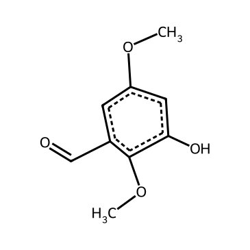 COc1cc(O)c(OC)c(C=O)c1